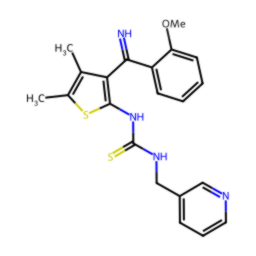 COc1ccccc1C(=N)c1c(NC(=S)NCc2cccnc2)sc(C)c1C